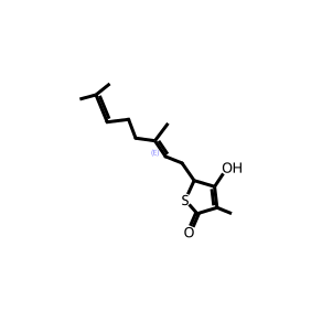 CC(C)=CCC/C(C)=C/CC1SC(=O)C(C)=C1O